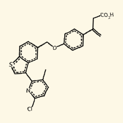 C=C(CC(=O)O)c1ccc(OCc2ccc3scc(-c4nc(Cl)ccc4C)c3c2)cc1